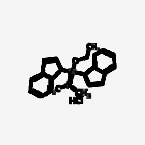 CC[O][Zr]([CH]1C=Cc2ccccc21)([CH]1C=Cc2ccccc21)=[Si](C)C.Cl